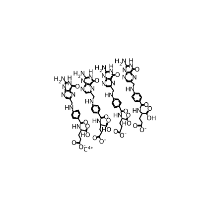 Nc1nc2ncc(CNc3ccc(C(=O)NC(CCC(=O)[O-])C(=O)O)cc3)nc2c(=O)[nH]1.Nc1nc2ncc(CNc3ccc(C(=O)NC(CCC(=O)[O-])C(=O)O)cc3)nc2c(=O)[nH]1.Nc1nc2ncc(CNc3ccc(C(=O)NC(CCC(=O)[O-])C(=O)O)cc3)nc2c(=O)[nH]1.Nc1nc2ncc(CNc3ccc(C(=O)NC(CCC(=O)[O-])C(=O)O)cc3)nc2c(=O)[nH]1.[C+4]